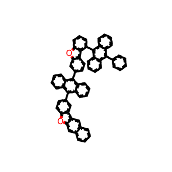 c1ccc(-c2c3ccccc3c(-c3cccc4oc5cc(-c6c7ccccc7c(-c7ccc8oc9cc%10ccccc%10cc9c8c7)c7ccccc67)ccc5c34)c3ccccc23)cc1